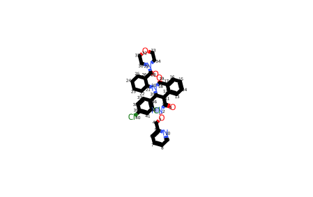 O=C(NOCc1ccccn1)C1c2ccccc2C(=O)N(C2CCCCC2C(=O)N2CCOCC2)C1c1ccc(Cl)cc1Cl